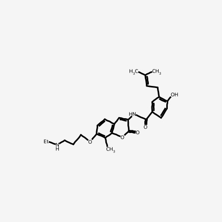 CCNCCCOc1ccc2cc(NC(=O)c3ccc(O)c(CC=C(C)C)c3)c(=O)oc2c1C